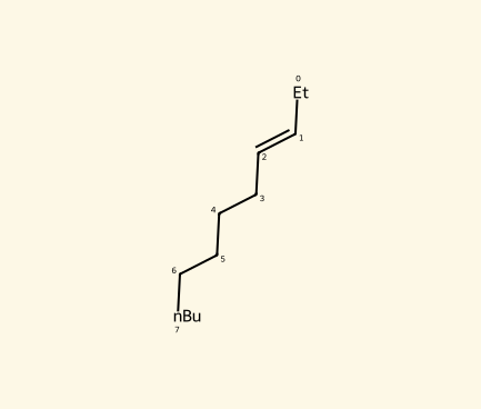 CC/C=C/CCCCCCCC